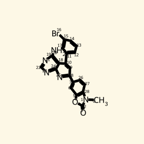 Cn1c(=O)oc2cc(-c3cc(-c4cccc(Br)c4)c4c(N)ncnc4n3)ccc21